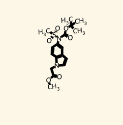 COC(=O)Cn1ccc2cc(N(C(=O)OC(C)(C)C)S(C)(=O)=O)ccc21